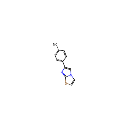 N#Cc1ccc(-c2cn3ccsc3n2)cc1